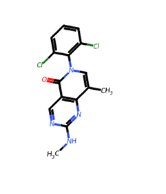 CNc1ncc2c(=O)n(-c3c(Cl)cccc3Cl)cc(C)c2n1